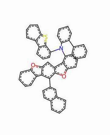 c1ccc(-c2ccccc2N(c2cccc3c2sc2ccccc23)c2cccc3oc4c(-c5ccc6ccccc6c5)c5c(cc4c23)oc2ccccc25)cc1